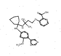 COc1cc(NC2(NC(C)(C)CCOc3cccnc3C(=O)O)CCCCO2)ccc1-c1cnco1